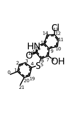 Cc1ccc(Sc2c(O)c3ccc(Cl)cc3[nH]c2=O)cc1C